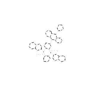 OC1(c2ccc3ccccc3c2)c2ccccc2C(O)(c2ccc3ccccc3c2)c2cc(-c3c4ccccc4c(-c4ccccc4)c4ccccc34)ccc21